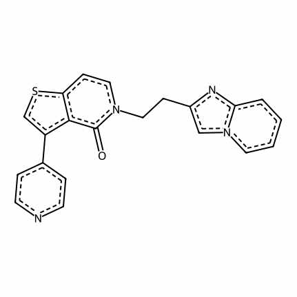 O=c1c2c(-c3ccncc3)csc2ccn1CCc1cn2ccccc2n1